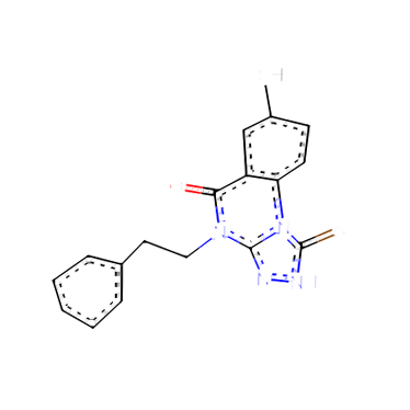 Cc1ccc2c(c1)c(=O)n(CCc1ccccc1)c1n[nH]c(=S)n21